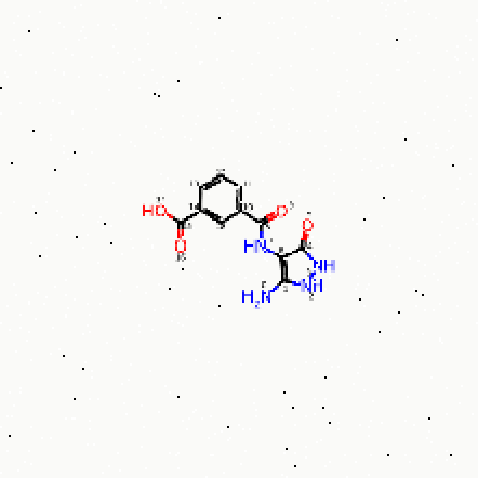 Nc1[nH][nH]c(=O)c1NC(=O)c1cccc(C(=O)O)c1